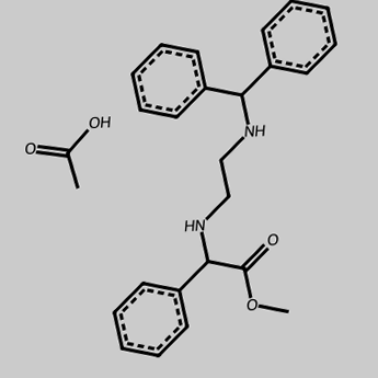 CC(=O)O.COC(=O)C(NCCNC(c1ccccc1)c1ccccc1)c1ccccc1